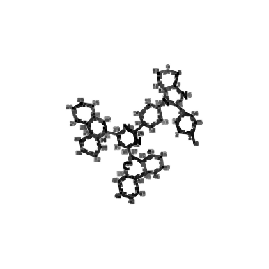 Cc1ccc(-c2nc3ccccc3n2-c2ccc(-c3nc(-c4cc5ccccc5c5ccccc45)cc(-c4cc5ccccc5c5ccccc45)n3)cc2)cc1